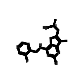 Cc1c(C[C@H](C)N)sc2c(NCc3ncncc3F)nc(Cl)nc12